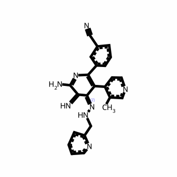 Cc1cnccc1C1=C(c2cccc(C#N)c2)N=C(N)C(=N)/C1=N\NCc1ccccn1